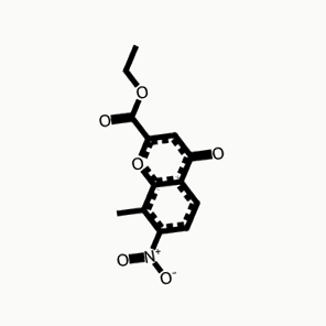 CCOC(=O)c1cc(=O)c2ccc([N+](=O)[O-])c(C)c2o1